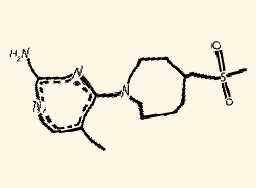 Cc1cnc(N)nc1N1CCC(S(C)(=O)=O)CC1